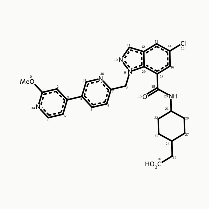 COc1cc(-c2ccc(Cn3ncc4cc(Cl)cc(C(=O)NC5CCC(CC(=O)O)CC5)c43)nc2)ccn1